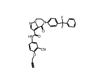 C#CCOc1ccc(NC(=O)c2cnn3c2C(=O)N(c2ccc(C(F)(F)c4ccccc4)cc2)CC3)cc1C#N